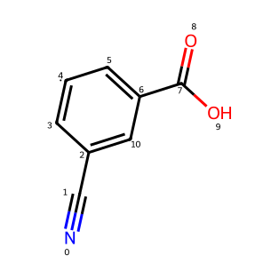 N#Cc1c[c]cc(C(=O)O)c1